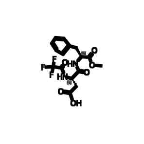 COC(=O)[C@H](Cc1ccccc1)NC(=O)[C@H](CC(=O)O)NC(=O)C(F)(F)F